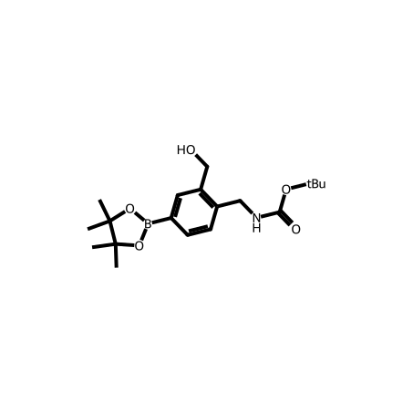 CC(C)(C)OC(=O)NCc1ccc(B2OC(C)(C)C(C)(C)O2)cc1CO